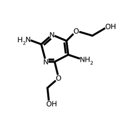 Nc1nc(OCO)c(N)c(OCO)n1